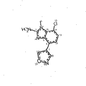 Cn1c(N)nc2c(-c3cnoc3)ccc(Cl)c21